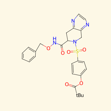 CC(C)(C)C(=O)Oc1ccc(S(=O)(=O)N2Cc3nccnc3CC2C(=O)NOCc2ccccc2)cc1